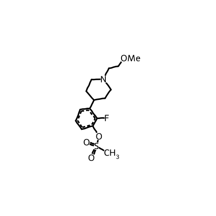 COCCN1CCC(c2cccc(OS(C)(=O)=O)c2F)CC1